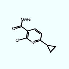 COC(=O)c1ccc(C2CC2)nc1Cl